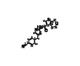 N#Cc1ccc(Cc2cnc(NC(=O)c3csc4c3CCOC4)s2)cc1